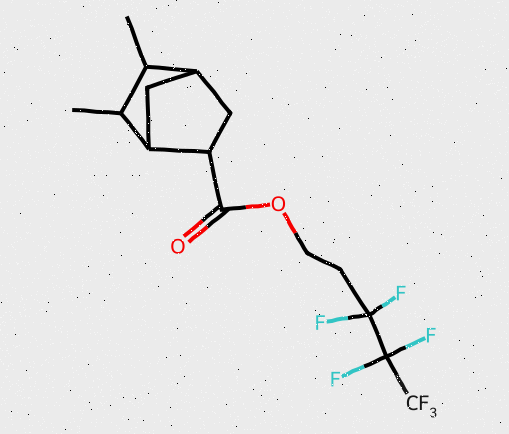 CC1C2CC(C(=O)OCCC(F)(F)C(F)(F)C(F)(F)F)C(C2)C1C